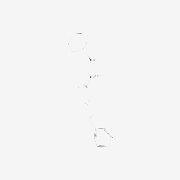 O=C(ONOCc1ccccc1)C(=O)OC(=O)[C@@H]1CCCCN1